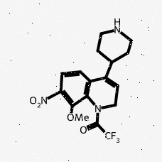 COc1c([N+](=O)[O-])ccc2c1N(C(=O)C(F)(F)F)CC=C2C1CCNCC1